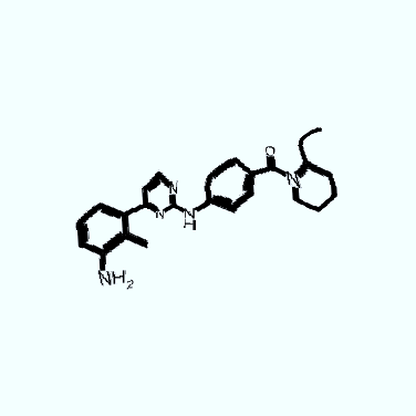 CCC1CCCCN1C(=O)c1ccc(Nc2nccc(-c3cccc(N)c3C)n2)cc1